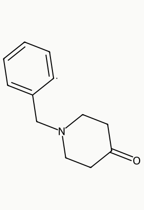 O=C1CCN(Cc2[c]cccc2)CC1